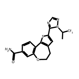 CC(n1ncnc1-c1cc2c(s1)-c1ccc(C(N)=O)cc1OCC2)C(F)(F)F